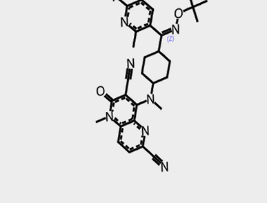 Cc1nc(F)ccc1/C(=N\OC(C)(C)C)C1CCC(N(C)c2c(C#N)c(=O)n(C)c3ccc(C#N)nc23)CC1